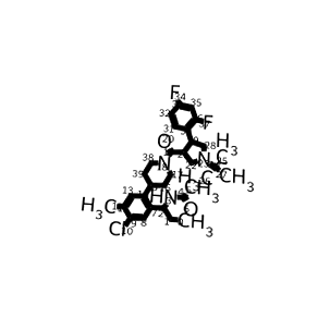 CCC(NC(C)=O)c1cc(Cl)c(C)cc1C1CCN(C(=O)C2CN(C(C)(C)C)CC2c2ccc(F)cc2F)CC1